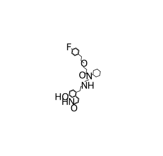 O=C(CCOCCc1ccc(F)cc1)N(CCNCCc1ccc(O)c2[nH]c(=O)ccc12)C1CCCCC1